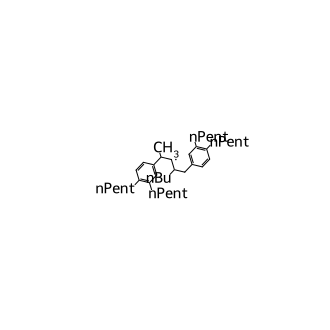 CCCCCc1ccc(CC([CH]C(C)c2ccc(CCCCC)c(CCCCC)c2)CCCC)cc1CCCCC